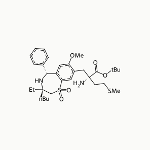 CCCC[C@]1(CC)CS(=O)(=O)c2cc(C[C@](N)(CCSC)C(=O)OC(C)(C)C)c(OC)cc2[C@@H](c2ccccc2)N1